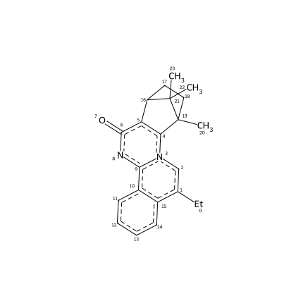 CCc1cn2c3c(c(=O)nc2c2ccccc12)C1CCC3(C)C1(C)C